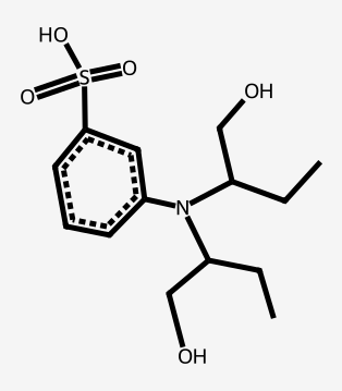 CCC(CO)N(c1cccc(S(=O)(=O)O)c1)C(CC)CO